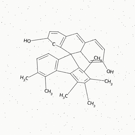 Cc1ccc2c(c1C)-c1c(C)c(C)c(C)c(C)c1C21C2=C(C=CC(O)C2)C=C2C=CC(O)=CC21